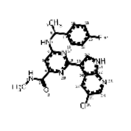 CNC(=O)c1cc(N[C@@H](C)c2ccc(F)cc2)nc(-c2c[nH]c3ncc(Cl)cc23)n1